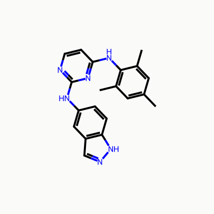 Cc1cc(C)c(Nc2ccnc(Nc3ccc4[nH]ncc4c3)n2)c(C)c1